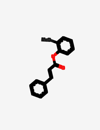 COc1ccccc1OC(=O)C=Cc1ccccc1